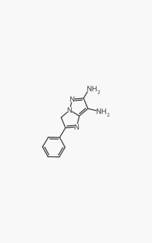 Nc1nn2c(c1N)N=C(c1ccccc1)C2